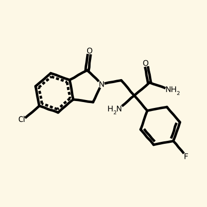 NC(=O)C(N)(CN1Cc2cc(Cl)ccc2C1=O)C1C=CC(F)=CC1